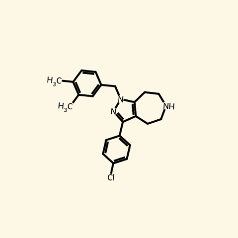 Cc1ccc(Cn2nc(-c3ccc(Cl)cc3)c3c2CCNCC3)cc1C